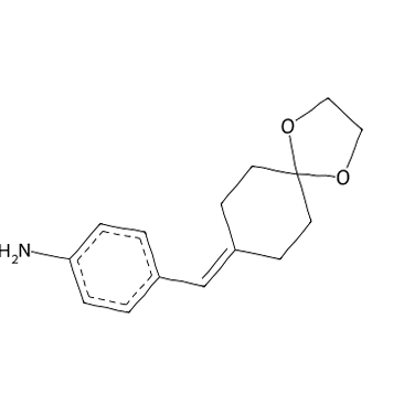 Nc1ccc(C=C2CCC3(CC2)OCCO3)cc1